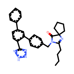 CCCCC1=NC2(CCCC2)C(=O)N1Cc1ccc(-c2cc(-c3ccccc3)ccc2-c2nn[nH]n2)cc1